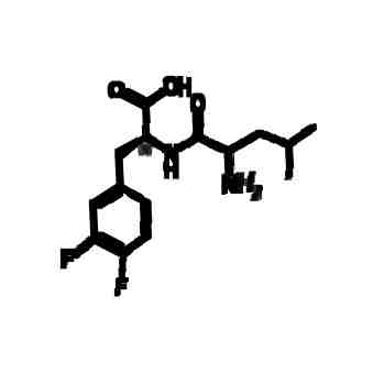 CC(C)CC(N)C(=O)N[C@@H](Cc1ccc(F)c(F)c1)C(=O)O